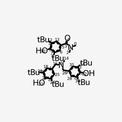 CN(C)C(=O)c1cc(C(C)(C)C)c(O)c(C(C)(C)C)c1.CN(Cc1cc(C(C)(C)C)c(O)c(C(C)(C)C)c1)Cc1cc(C(C)(C)C)c(O)c(C(C)(C)C)c1